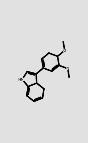 COC1=CC(C2=CNC3=CC=CCC32)=CCC1OC